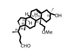 COCC[C@]12CC[C@](C)(O)CC1=CC[C@@H]1[C@@H]2CC[C@]2(C)[C@@H]([C@H](C)CCC=O)CC[C@@H]12